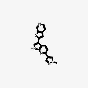 Cn1cc(-c2ccc3c(-c4cc5ccncc5s4)c[nH]c3n2)cn1